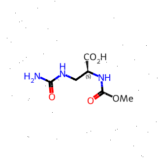 COC(=O)N[C@@H](CNC(N)=O)C(=O)O